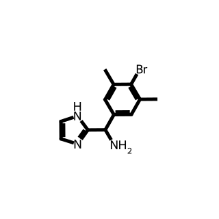 Cc1cc(C(N)c2ncc[nH]2)cc(C)c1Br